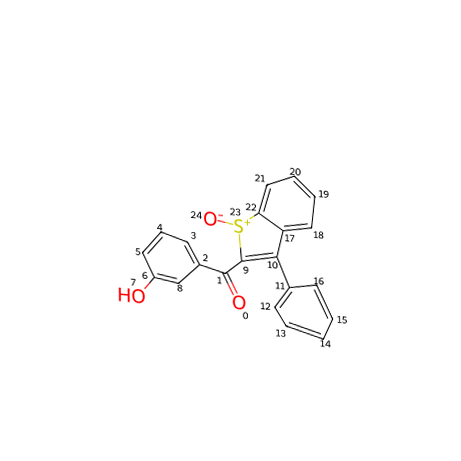 O=C(c1cccc(O)c1)c1c(-c2ccccc2)c2ccccc2[s+]1[O-]